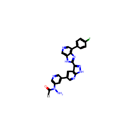 CCC(=O)N(N)c1cncc(-c2cnc3[nH]nc(-c4nc5c(-c6ccc(F)cc6)cncc5[nH]4)c3c2)c1